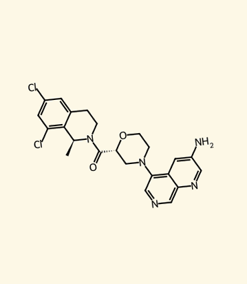 C[C@H]1c2c(Cl)cc(Cl)cc2CCN1C(=O)[C@H]1CN(c2cncc3ncc(N)cc23)CCO1